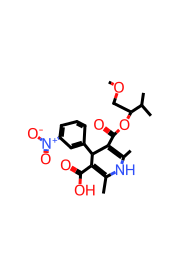 COCC(OC(=O)C1=C(C)NC(C)=C(C(=O)O)C1c1cccc([N+](=O)[O-])c1)C(C)C